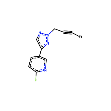 CCC#CCn1ncc(-c2ccc(F)nc2)n1